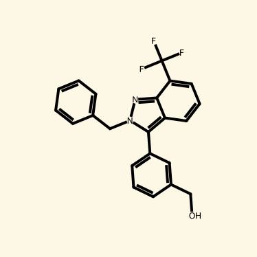 OCc1cccc(-c2c3cccc(C(F)(F)F)c3nn2Cc2ccccc2)c1